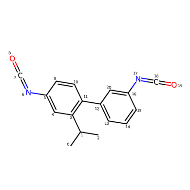 CC(C)c1cc(N=C=O)ccc1-c1cccc(N=C=O)c1